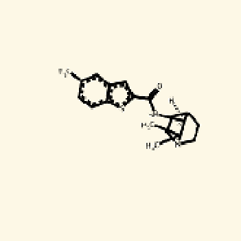 CC1(C)[C@@H](NC(=O)c2cc3cc(C(F)(F)F)ccc3s2)C2CCN1CC2